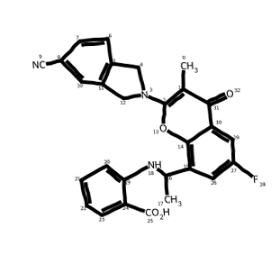 Cc1c(N2Cc3ccc(C#N)cc3C2)oc2c(C(C)Nc3ccccc3C(=O)O)cc(F)cc2c1=O